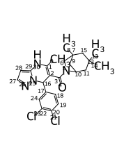 CC1=C(C(=O)N2CC3(C)CC2CC(C)(C)C3)C(c2ccc(Cl)c(Cl)c2)n2nccc2N1